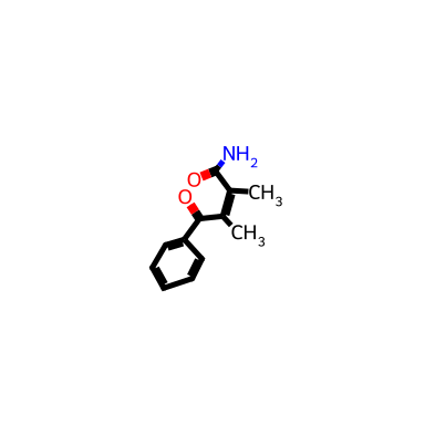 CC(C(N)=O)=C(C)C(=O)c1ccccc1